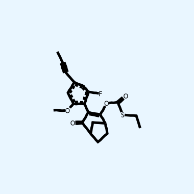 CC#Cc1cc(F)c(C2=C(OC(=O)SCC)C3CCC(C3)C2=O)c(OC)c1